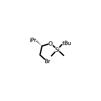 CC(C)[C@@H](CBr)O[Si](C)(C)C(C)(C)C